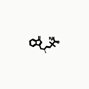 C[C@@H](/C=C/C(C)(C)C(N)=O)Cc1c[nH]c2ccccc12